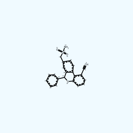 C#Cc1cccc2c1-c1ccc(CS(N)(=O)=O)cc1C(c1ccccc1)O2